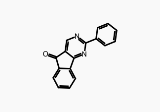 O=C1c2ccccc2-c2nc(-c3ccccc3)ncc21